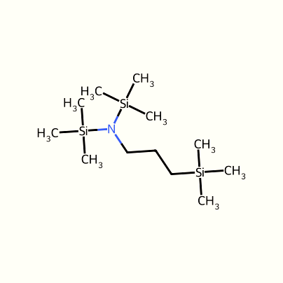 C[Si](C)(C)CCCN([Si](C)(C)C)[Si](C)(C)C